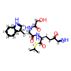 CC(C)SC(=O)[C@H](CCC(=O)C=N)NC(=O)[C@H](Cc1c[nH]c2ccccc12)NC(=O)CO